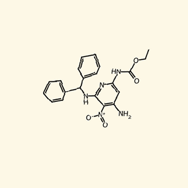 CCOC(=O)Nc1cc(N)c([N+](=O)[O-])c(NC(c2ccccc2)c2ccccc2)n1